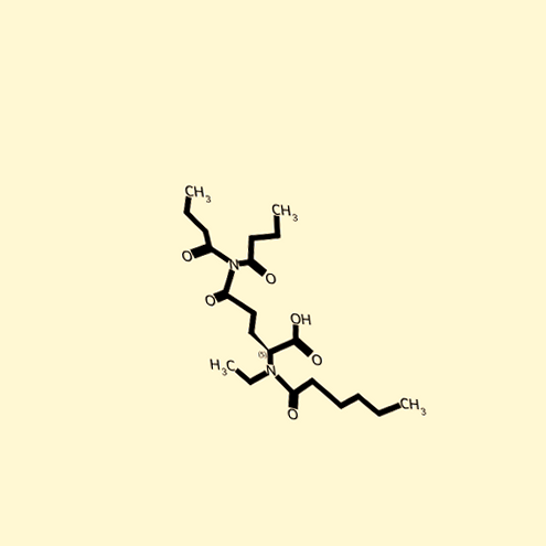 CCCCCC(=O)N(CC)[C@@H](CCC(=O)N(C(=O)CCC)C(=O)CCC)C(=O)O